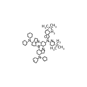 CC(C)(C)c1ccc(N(c2cc3c4c(c2)-n2ccc5c(N(c6ccccc6)c6ccccc6)ccc(c52)B4c2ccc(N(c4ccccc4)c4ccccc4)c4ccn-3c24)c2cc3cc(C(C)(C)C)ccc3o2)nc1